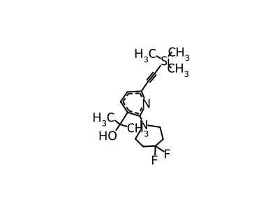 CC(C)(O)c1ccc(C#C[Si](C)(C)C)nc1N1CCC(F)(F)CC1